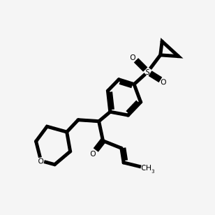 CC=CC(=O)C(CC1CCOCC1)c1ccc(S(=O)(=O)C2CC2)cc1